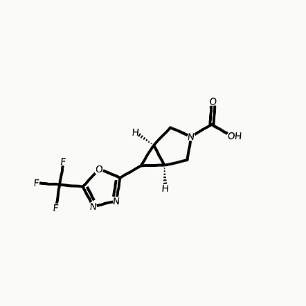 O=C(O)N1C[C@@H]2C(c3nnc(C(F)(F)F)o3)[C@@H]2C1